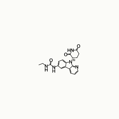 CCNC(=O)Nc1ccc2c(c1)c1cccnc1n2[C@H]1CCC(=O)NC1=O